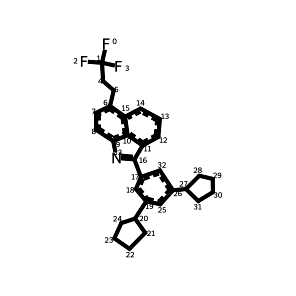 FC(F)(F)CCc1ccc2c3c(cccc13)C(c1cc(C3CCCC3)cc(C3CCCC3)c1)=N2